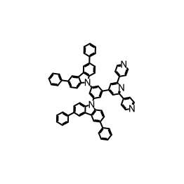 c1ccc(-c2ccc3c(c2)c2cc(-c4ccccc4)ccc2n3-c2cc(-c3cc(-c4ccncc4)nc(-c4ccncc4)c3)cc(-n3c4ccc(-c5ccccc5)cc4c4cc(-c5ccccc5)ccc43)c2)cc1